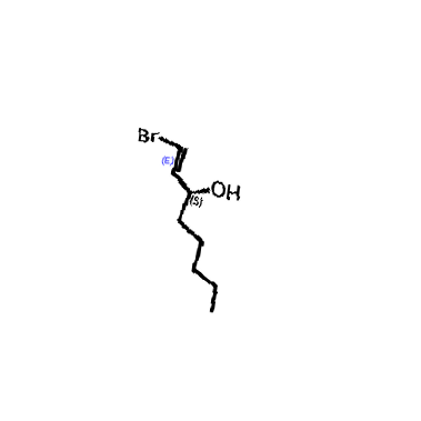 CCCCC[C@H](O)/C=C/Br